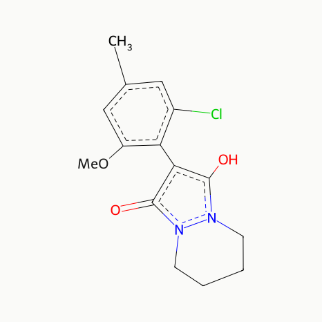 COc1cc(C)cc(Cl)c1-c1c(O)n2n(c1=O)CCCC2